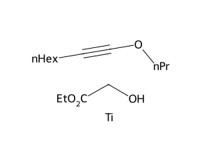 CCCCCCC#COCCC.CCOC(=O)CO.[Ti]